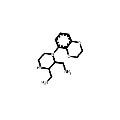 NCC1NCCN(c2cccc3c2OCCO3)C1CN